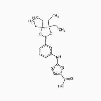 CCC1(CC)OB(c2cccc(Nc3nc(C(=O)O)cs3)c2)OC1(CC)CC